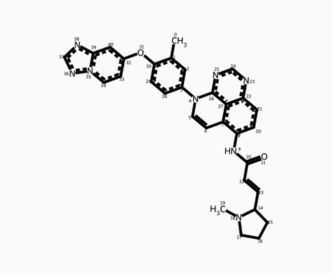 Cc1cc(N2C=Cc3c(NC(=O)C=CC4CCCN4C)ccc4ncnc2c34)ccc1Oc1ccn2ncnc2c1